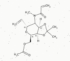 C=CC(=O)N(C)C1[C@H]2OC(C)(C)O[C@H]2[C@@H](COC(C)=O)O[C@@H]1C=C